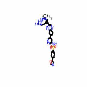 CN/C=C(\C=N)c1cnc2ccc(-c3cncc(NS(=O)(=O)c4ccc(-c5cnco5)cc4)c3)cc2n1